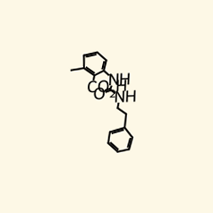 Cc1cccc(NC(=O)NCCc2ccccc2)c1C(=O)O